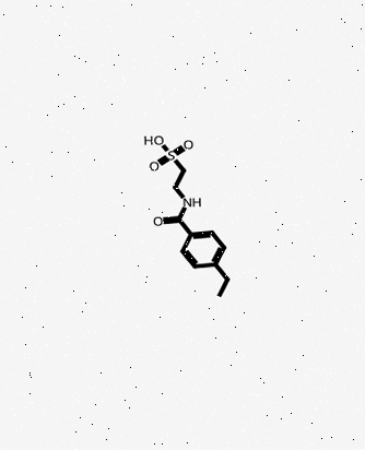 CCc1ccc(C(=O)NCCS(=O)(=O)O)cc1